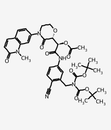 CC(=O)O[C@@H](C(=O)Nc1ccc(C#N)c(CN(C(=O)OC(C)(C)C)C(=O)OC(C)(C)C)c1)[C@H]1OCCN(c2ccc3ccc(=O)n(C)c3c2)C1=O